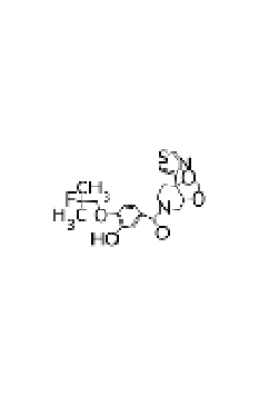 CC(C)(F)COc1ccc(C(=O)N2CCC3(c4cscn4)OCOC3C2)cc1O